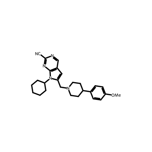 COc1ccc(C2CCN(Cc3cc4cnc(C#N)nc4n3C3CCCCC3)CC2)cc1